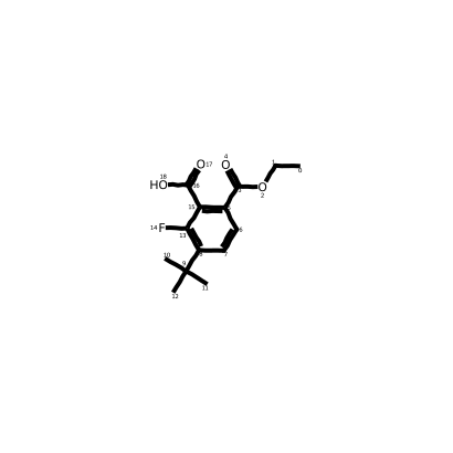 CCOC(=O)c1ccc(C(C)(C)C)c(F)c1C(=O)O